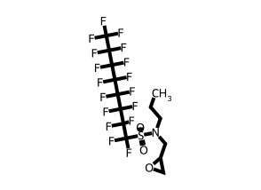 CCCN(CC1CO1)S(=O)(=O)C(F)(F)C(F)(F)C(F)(F)C(F)(F)C(F)(F)C(F)(F)C(F)(F)C(F)(F)F